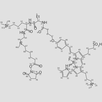 CCC(NC(=O)CCCOc1ccc(/C=C/C2=[N+]3C(=Cc4c(CCC[N+](C)(C)C)cc(-c5ccc(C)[nH]5)n4[B-]3(F)F)C(CCCS(=O)(=O)O)=C2)cc1)C(=O)NC(CCCC[N+](C)(C)C)C(=O)NCCN(C)CCCCCC(=O)ON1C(=O)CCC1=O